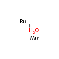 O.[Mn].[Ru].[Ti]